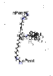 CCCCC/C=C\C/C=C\CCCCCCCCC(CCCCCCCC/C=C\C/C=C\CCCCC)OC(=O)/C=C/C(C)(C)C(C)(C)N(C)C